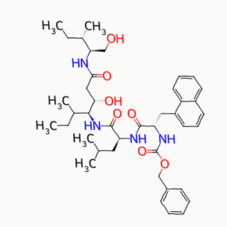 CCC(C)[C@H](NC(=O)[C@H](CC(C)C)NC(=O)[C@H](Cc1cccc2ccccc12)NC(=O)OCc1ccccc1)[C@@H](O)CC(=O)N[C@H](CO)[C@@H](C)CC